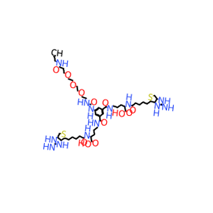 C#CCNC(=O)CCOCCOCCOCCNC(=O)Nc1cc(C(=O)NCCCC(NC(=O)CCCCC2SCC3NC(=N)NC32)C(=O)O)cc(C(=O)NCCCC(NC(=O)CCCCC2SCC3NC(=N)NC32)C(=O)O)c1